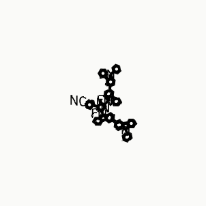 N#Cc1ccc(-c2c(F)c(-n3c4ccccc4c4cc(-c5ccc6c(c5)c5ccccc5n6-c5ccccc5)ccc43)nc(-n3c4ccccc4c4cc(-c5ccc6c(c5)c5ccccc5n6-c5ccccc5)ccc43)c2F)cc1